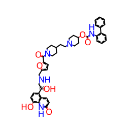 O=C(Nc1ccccc1-c1ccccc1)OC1CCN(CCC2CCN(C(=O)c3ccc(CNC[C@H](O)c4ccc(O)c5[nH]c(=O)ccc45)o3)CC2)CC1